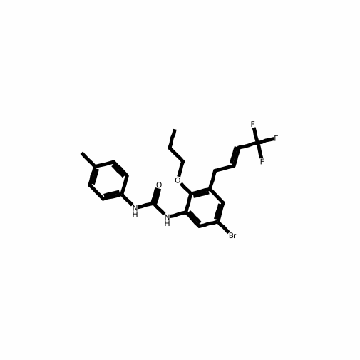 CCCOc1c(C/C=C/C(F)(F)F)cc(Br)cc1NC(=O)Nc1ccc(C)cc1